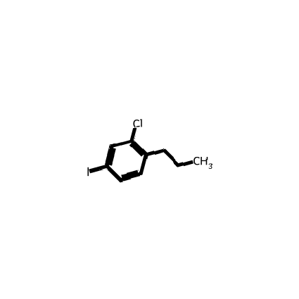 CCCc1ccc(I)cc1Cl